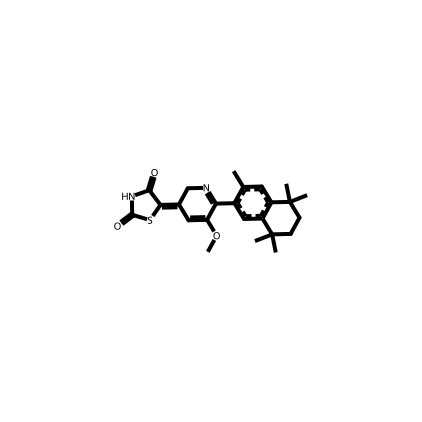 COC1=CC(=C2SC(=O)NC2=O)CN=C1c1cc2c(cc1C)C(C)(C)CCC2(C)C